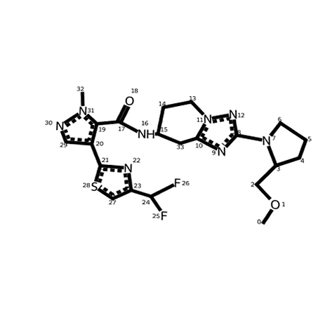 COCC1CCCN1c1nc2n(n1)CCC(NC(=O)c1c(-c3nc(C(F)F)cs3)cnn1C)C2